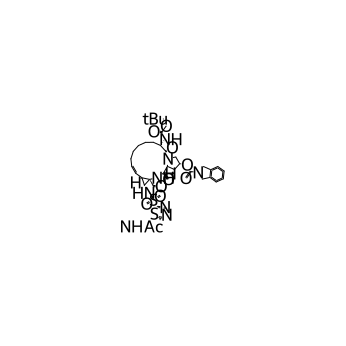 CC(=O)Nc1nnc(S(=O)(=O)NC(=O)[C@@]23C[C@H]2/C=C\CCCCC[C@H](NC(=O)OC(C)(C)C)C(=O)N2C[C@H](OC(=O)N4Cc5ccccc5C4)C[C@H]2C(=O)N3)s1